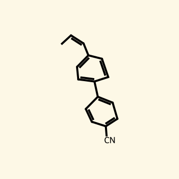 C/C=C\c1ccc(-c2ccc(C#N)cc2)cc1